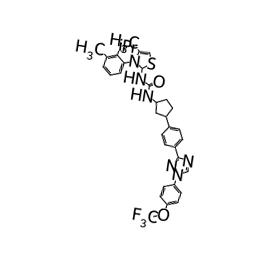 CC1=CSC(NC(=O)NC2CCC(c3ccc(-c4ncn(-c5ccc(OC(F)(F)F)cc5)n4)cc3)C2)N1c1cccc(C)c1C(C)C